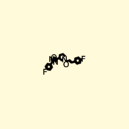 O=C(/C=C/c1ccc(F)cc1)N1CCCC(c2nc(-c3ccc(F)cc3)no2)C1